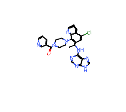 CC(Nc1ncnc2[nH]cnc12)c1cc(Cl)c2cccnc2c1N1CCN(C(=O)c2cccnc2)CC1